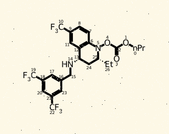 CCCOC(=O)ON1c2ccc(C(F)(F)F)cc2[C@@H](NCc2cc(C(F)(F)F)cc(C(F)(F)F)c2)C[C@H]1CC